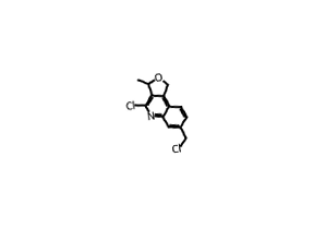 CC1OCc2c1c(Cl)nc1cc(CCl)ccc21